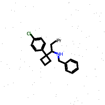 CC(C)CC(NCc1ccccc1)C1(c2ccc(Cl)cc2)CCC1